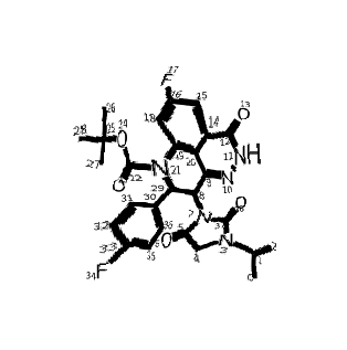 CC(C)N1CC(=O)N(C2c3n[nH]c(=O)c4cc(F)cc(c34)N(C(=O)OC(C)(C)C)C2c2ccc(F)cc2)C1=O